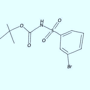 CC(C)(C)OC(=O)NS(=O)(=O)c1cccc(Br)c1